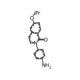 CC(C)Oc1ccc2c(=O)n(-c3ccc(N)cc3)ccc2c1